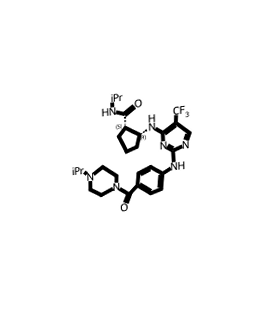 CC(C)NC(=O)[C@H]1CCC[C@H]1Nc1nc(Nc2ccc(C(=O)N3CCN(C(C)C)CC3)cc2)ncc1C(F)(F)F